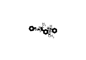 COC1CCC(c2sc(NCC3CCCCC3)nc2C)CC1S(=O)(=O)NC1CCCCC1